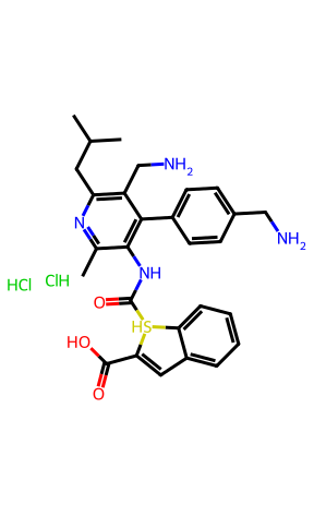 Cc1nc(CC(C)C)c(CN)c(-c2ccc(CN)cc2)c1NC(=O)[SH]1C(C(=O)O)=Cc2ccccc21.Cl.Cl